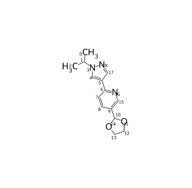 CC(C)n1cc(-c2ccc(C3OCCO3)cn2)cn1